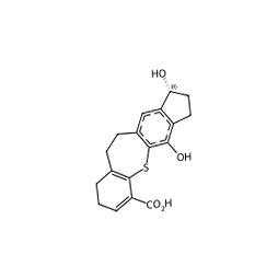 O=C(O)C1=CCCC2=C1Sc1c(cc3c(c1O)CC[C@H]3O)CC2